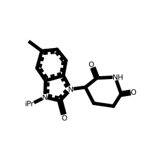 Cc1ccc2c(c1)n(C(C)C)c(=O)n2C1CCC(=O)NC1=O